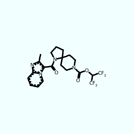 Cc1nc2ccccn2c1C(=O)N1CCCC12CCN(C(=O)OC(C(F)(F)F)C(F)(F)F)CC2